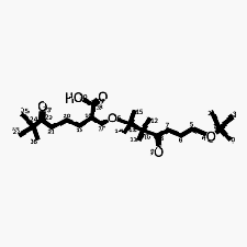 CC(C)(C)OCCCC(=O)C(C)(C)C(C)(C)OCC(CCCC(=O)C(C)(C)C)C(=O)O